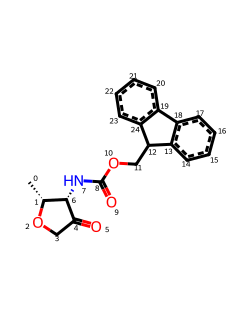 C[C@H]1OCC(=O)[C@H]1NC(=O)OCC1c2ccccc2-c2ccccc21